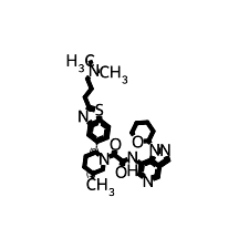 C[C@H]1CC[C@H](c2ccc3sc(CCCN(C)C)nc3c2)N(C(=O)C(=O)Nc2cncc3cnn(C4CCCCO4)c23)C1